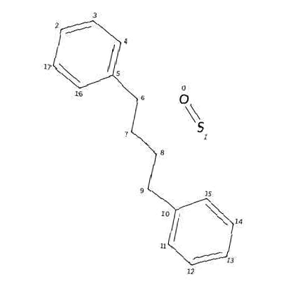 O=S.c1ccc(CCCCc2ccccc2)cc1